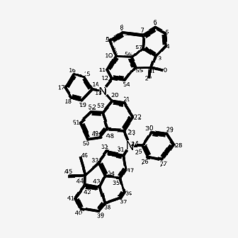 CC1(C)c2cccc3ccc4cc(N(c5ccccc5)c5ccc(N(c6ccccc6)c6cc7c8c(ccc9cccc(c98)C7(C)C)c6)c6ccccc56)cc1c4c23